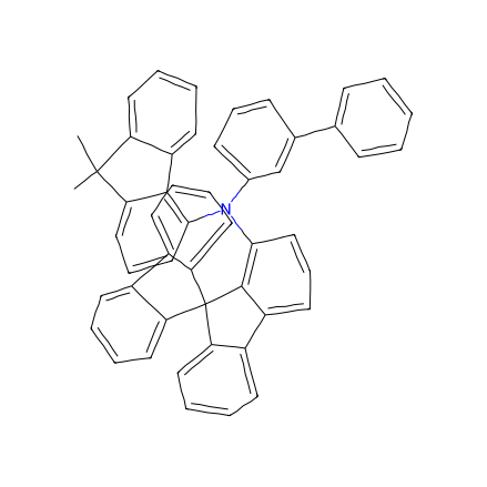 CC1(C)c2ccccc2-c2c(N(c3cccc(-c4ccccc4)c3)c3cccc4c3C3(c5ccccc5-c5ccccc53)c3ccccc3-4)cccc21